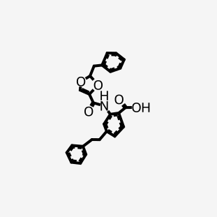 O=C(Nc1cc(CCc2ccccc2)ccc1C(=O)O)C1=COC(Cc2ccccc2)O1